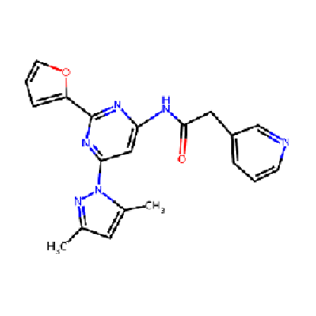 Cc1cc(C)n(-c2cc(NC(=O)Cc3cccnc3)nc(-c3ccco3)n2)n1